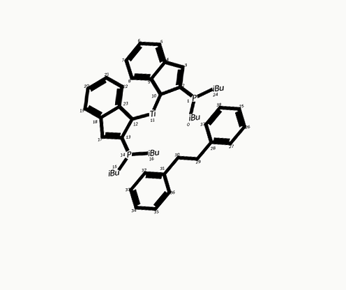 CCC(C)P(C1=Cc2ccccc2[CH]1[Ti][CH]1C(P(C(C)CC)C(C)CC)=Cc2ccccc21)C(C)CC.c1ccc(CCc2ccccc2)cc1